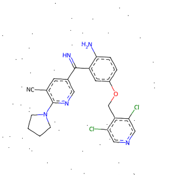 N#Cc1cc(C(=N)c2cc(OCc3c(Cl)cncc3Cl)ccc2N)cnc1N1CCCC1